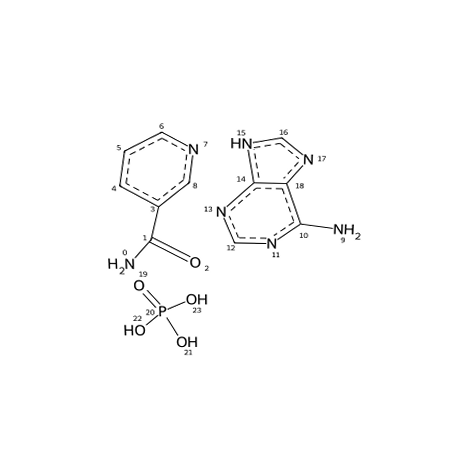 NC(=O)c1cccnc1.Nc1ncnc2[nH]cnc12.O=P(O)(O)O